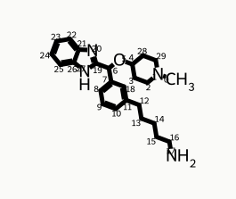 CN1CCC(OC(c2cccc(CCCCCN)c2)c2nc3ccccc3[nH]2)CC1